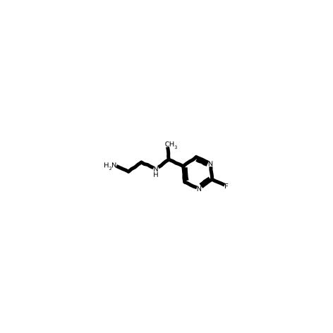 CC(NCCN)c1cnc(F)nc1